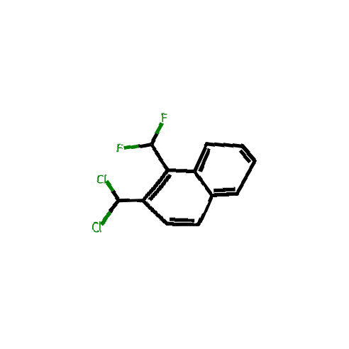 FC(F)c1c(C(Cl)Cl)ccc2ccccc12